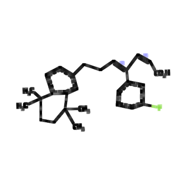 CC1(C)CCC(C)(C)c2cc(CC/C=C(/C=C\C(=O)O)c3cccc(F)c3)ccc21